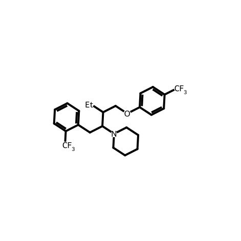 CCC(COc1ccc(C(F)(F)F)cc1)C(Cc1ccccc1C(F)(F)F)N1CCCCC1